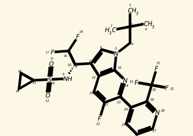 CC(C)(C)Cn1cc([C@H](NS(=O)(=O)C2CC2)C(F)F)c2cc(F)c(-c3cccnc3C(F)(F)F)nc21